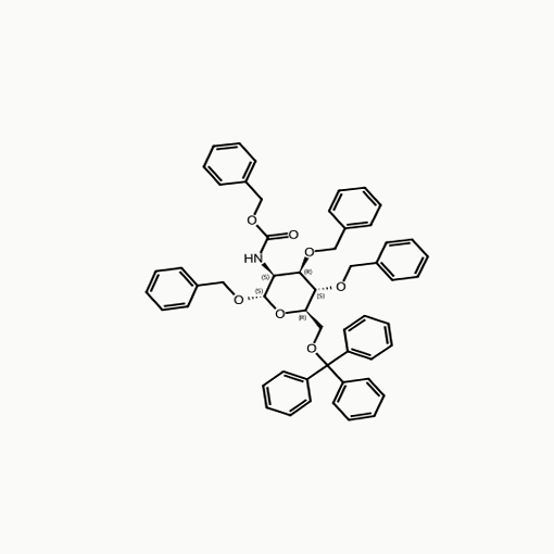 O=C(N[C@@H]1[C@@H](OCc2ccccc2)O[C@H](COC(c2ccccc2)(c2ccccc2)c2ccccc2)[C@@H](OCc2ccccc2)[C@@H]1OCc1ccccc1)OCc1ccccc1